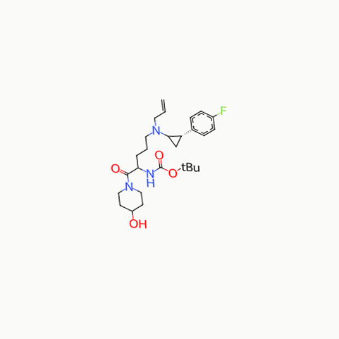 C=CCN(CCCC(NC(=O)OC(C)(C)C)C(=O)N1CCC(O)CC1)C1C[C@H]1c1ccc(F)cc1